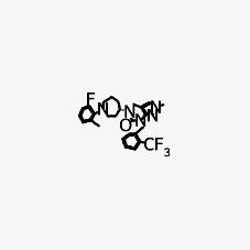 Cc1cccc(F)c1N1CCC[C@H](N2Cc3cn(C)nc3N(Cc3ccccc3C(F)(F)F)C2=O)CC1